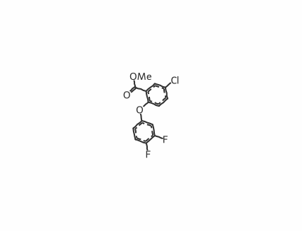 COC(=O)c1cc(Cl)ccc1Oc1ccc(F)c(F)c1